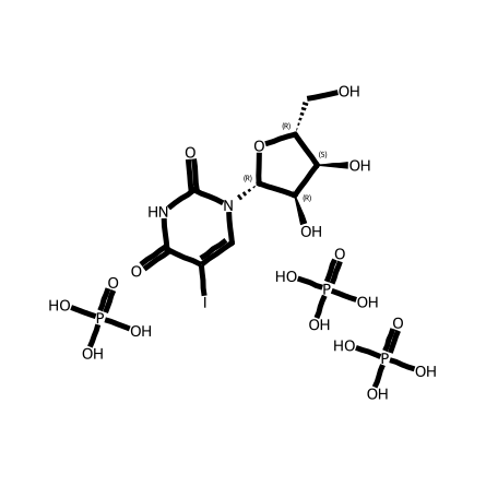 O=P(O)(O)O.O=P(O)(O)O.O=P(O)(O)O.O=c1[nH]c(=O)n([C@@H]2O[C@H](CO)[C@@H](O)[C@H]2O)cc1I